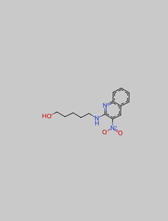 O=[N+]([O-])c1cc2ccccc2nc1NCCCCCO